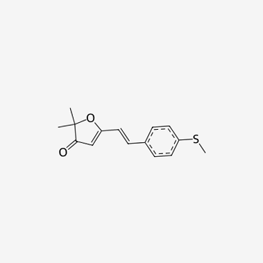 CSc1ccc(/C=C/C2=CC(=O)C(C)(C)O2)cc1